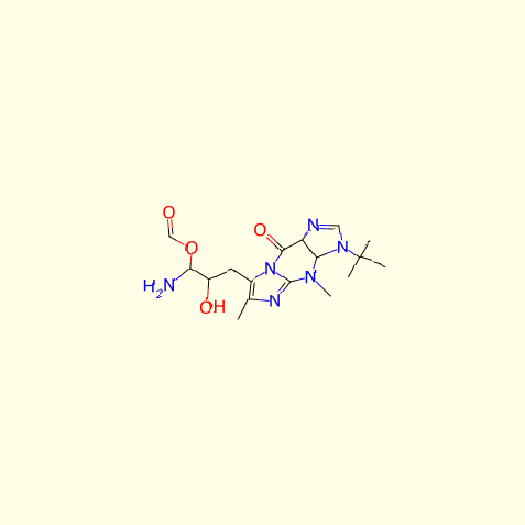 Cc1nc2n(c1CC(O)C(N)OC=O)C(=O)C1N=CN(C(C)(C)C)C1N2C